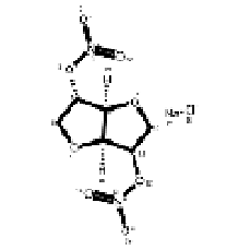 O=[N+]([O-])O[C@H]1CO[C@H]2[C@@H]1OC[C@H]2O[N+](=O)[O-].[Cl-].[Na+]